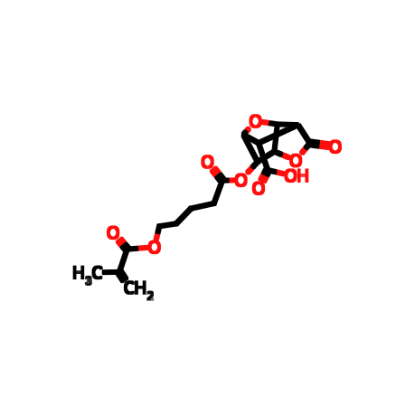 C=C(C)C(=O)OCCCCC(=O)OC1C2OC(=O)C3C2OC1C3C(=O)O